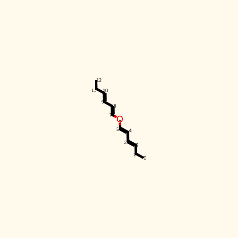 CCC=CC=COC=CC=CCC